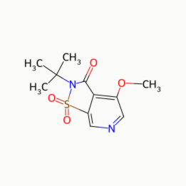 COc1cncc2c1C(=O)N(C(C)(C)C)S2(=O)=O